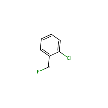 F[C]c1ccccc1Cl